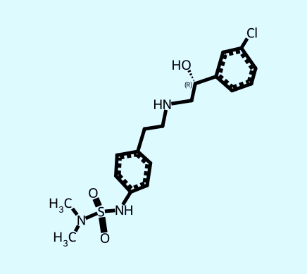 CN(C)S(=O)(=O)Nc1ccc(CCNC[C@H](O)c2cccc(Cl)c2)cc1